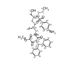 CCCN([C@H](CO)CC[C@H](F)CNC(=O)[C@@H](NC(=O)OC)C(c1ccccc1)c1ccccc1)S(=O)(=O)c1ccc(N)cc1